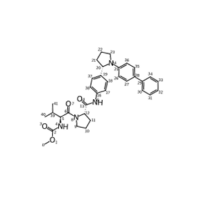 COC(=O)N[C@H](C(=O)N1CCC[C@H]1C(=O)Nc1ccc([C@@H]2CCCN2c2ccc(-c3ccccc3)cc2)cc1)C(C)C